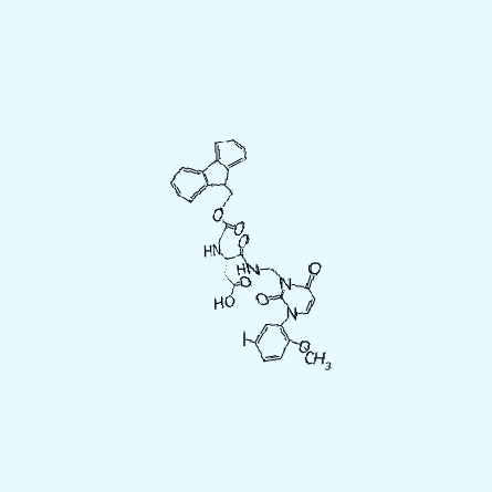 COc1ccc(I)cc1-n1ccc(=O)n(CNC(=O)[C@H](CC(=O)O)NC(=O)OCC2c3ccccc3-c3ccccc32)c1=O